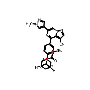 Cn1cc(-c2cn3ncc(C#N)c3c(-c3ccc(N4C[C@H]5C[C@@H](C4)C5NC(=O)OC(C)(C)C)nc3)n2)cn1